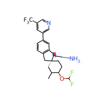 CC1C[C@]2(CC[C@H]1OC(F)F)Cc1ccc(-c3cncc(C(F)(F)F)c3)cc1C21N=CC(N)=N1